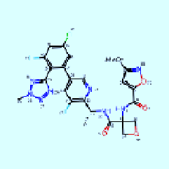 COc1cc(C(=O)NC2(C(=O)N[C@H](C)c3ncc(-c4cc(Cl)cc(F)c4-c4nnn(C)n4)cc3F)COC2)on1